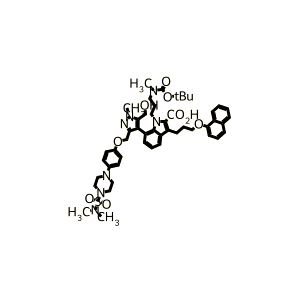 CN(CCCn1c(C(=O)O)c(CCCOc2cccc3ccccc23)c2cccc(-c3c(COc4ccc(N5CCN(S(=O)(=O)N(C)C)CC5)cc4)nn(C)c3CO)c21)C(=O)OC(C)(C)C